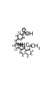 CC(C)c1cccc2ccc(-c3ccc(Cc4ccc(C(=O)O)cc4)[nH]3)cc12